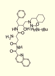 CC(C)(C)NC(=O)NN(CC1CCCCC1)CC(O)C(Cc1ccccc1)NC(=O)[C@@H](N)CC(=O)NC(=O)c1ccc2ccccc2n1